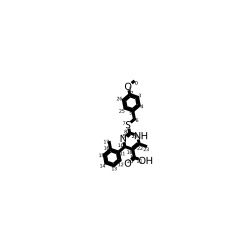 COc1ccc(CSC2=NC(c3ccccc3C)C(C(=O)O)=C(C)N2)cc1